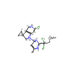 COCC(F)(F)c1nc(C)cc(N2CC3(CC3)c3cnc(Cl)cc32)n1